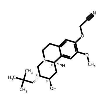 COc1cc2c(cc1OCC#N)CCN1C[C@@H](CC(C)(C)C)[C@H](O)C[C@H]21